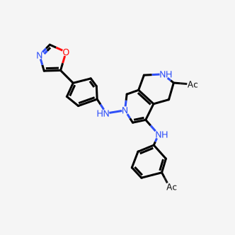 CC(=O)c1cccc(NC2=CN(Nc3ccc(-c4cnco4)cc3)CC3=C2CC(C(C)=O)NC3)c1